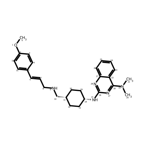 COc1ccc(/C=C/CNC[C@H]2CC[C@@H](Nc3nc(N(C)C)c4ccccc4n3)CC2)cc1